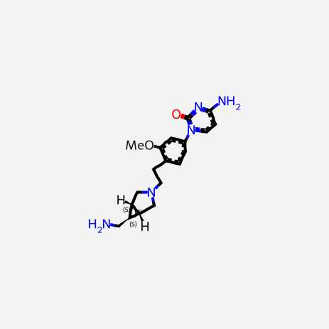 COc1cc(-n2ccc(N)nc2=O)ccc1CCN1C[C@@H]2[C@@H](CN)[C@@H]2C1